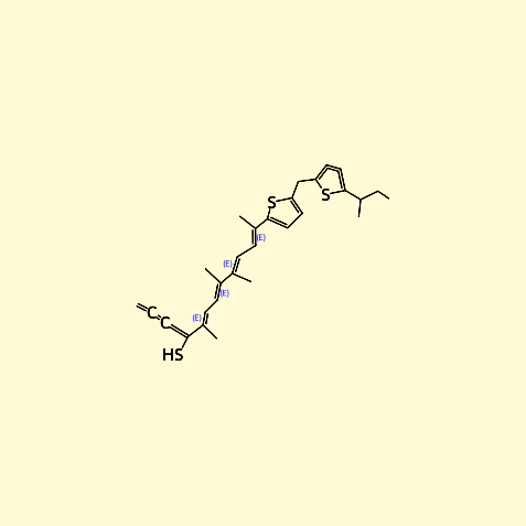 C=C=C=C(S)/C(C)=C/C=C(C)/C(C)=C/C=C(\C)c1ccc(CC2=C=C=C(C(C)CC)S2)s1